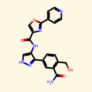 NC(=O)c1cc(-c2n[nH]cc2NC(=O)c2coc(-c3ccncc3)n2)ccc1CO